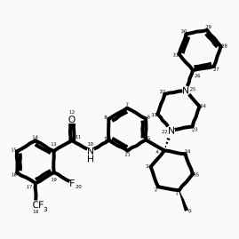 C[C@H]1CC[C@](c2cccc(NC(=O)c3cccc(C(F)(F)F)c3F)c2)(N2CCN(c3ccccc3)CC2)CC1